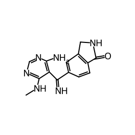 CNc1ncnc(N)c1C(=N)c1ccc2c(c1)CNC2=O